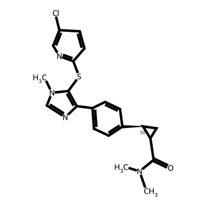 CN(C)C(=O)C1C[C@@H]1c1ccc(-c2ncn(C)c2Sc2ccc(Cl)cn2)cc1